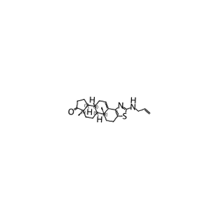 C=CCNc1nc2c(s1)CC[C@@]1(C)C2=CC[C@@H]2[C@@H]1CC[C@]1(C)C(=O)CC[C@@H]21